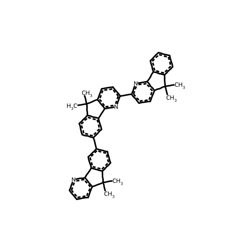 CC1(C)c2ccc(-c3ccc4c(c3)-c3nc(-c5ccc6c(n5)-c5ccccc5C6(C)C)ccc3C4(C)C)cc2-c2ncccc21